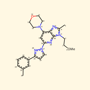 COCCn1c(C)nc2c(N3CCOCC3)cc(-n3ccc(-c4cccc(C)c4)n3)nc21